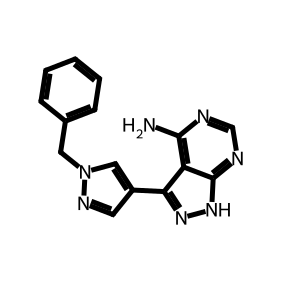 Nc1ncnc2[nH]nc(-c3cnn(Cc4ccccc4)c3)c12